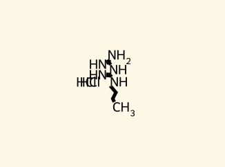 CCCCNC(=N)NC(=N)N.Cl.Cl